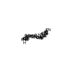 CC(C)Nc1cc(-c2ccc3cc(C#N)cnn23)ncc1-c1nnc(N2CCC(NC(=O)C3CCN(c4ccc5c(c4)C(=O)N([C@@H]4CCC(=O)NC4=O)C5=O)CC3)CC2)s1